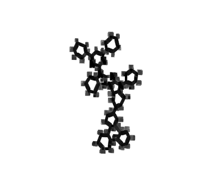 c1ccc(-c2cc(-c3ccccc3)nc(-n3c4ccccc4c4c3nc3n(-c5ccccc5)c5ccc(-c6ccc7c8ccccc8c8ccccc8c7c6)cc5n43)n2)cc1